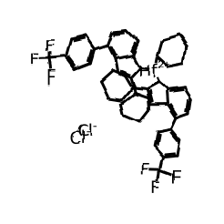 FC(F)(F)c1ccc(-c2cccc3c2C=C(C2CCCCC2)[CH]3[Hf+2]2([CH]3C(C4CCCCC4)=Cc4c(-c5ccc(C(F)(F)F)cc5)cccc43)[CH]3CCCC[CH]32)cc1.[Cl-].[Cl-]